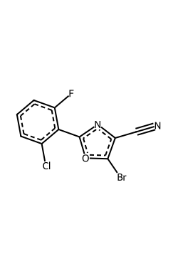 N#Cc1nc(-c2c(F)cccc2Cl)oc1Br